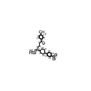 Cc1ccc(C(=O)CCCN(C)C2CCC(c3ccc([N+](=O)[O-])cc3)CC2)cc1.Cl